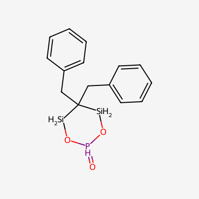 O=[PH]1O[SiH2]C(Cc2ccccc2)(Cc2ccccc2)[SiH2]O1